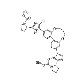 CC(C)(C)OC(=O)N1CCCC1c1nc(Cl)c(-c2ccc3c(c2)OCCCOc2cc(-c4cnc([C@@H]5CCCN5C(=O)OC(C)(C)C)[nH]4)ccc2-3)[nH]1